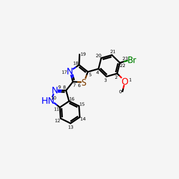 COc1cc(-c2sc(-c3n[nH]c4ccccc34)nc2C)ccc1Br